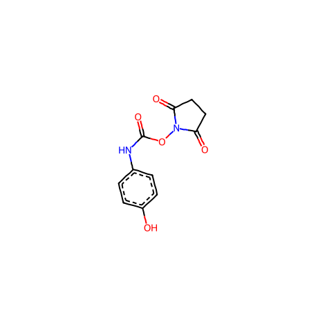 O=C(Nc1ccc(O)cc1)ON1C(=O)CCC1=O